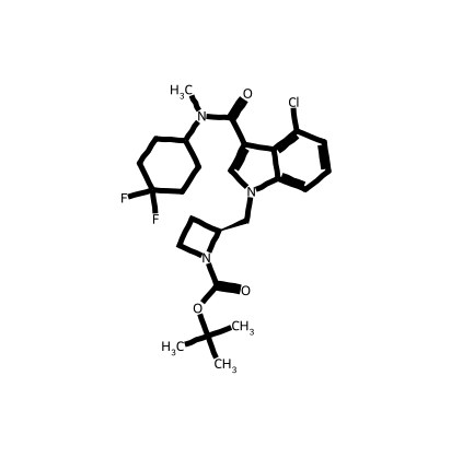 CN(C(=O)c1cn(C[C@@H]2CCN2C(=O)OC(C)(C)C)c2cccc(Cl)c12)C1CCC(F)(F)CC1